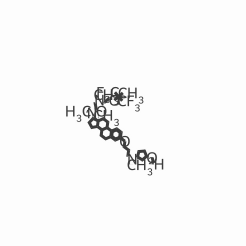 [2H]CO[C@@H]1CCC(N(C)CCCOc2ccc3c(c2)CCC2C3CC[C@@]3(C)C2CC[C@@H]3N(C)C(=O)CN(C)CCOC(C)(C(F)(F)F)C(F)(F)F)C1